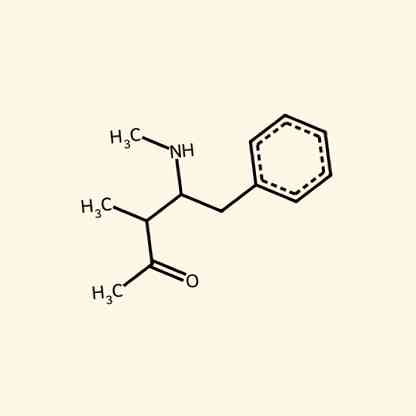 CNC(Cc1ccccc1)C(C)C(C)=O